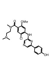 COc1cc(Nc2cncc(-c3ccc(O)cc3)n2)c(Cl)cc1C(=O)N(C)CCN(C)C